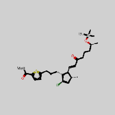 COC(=O)c1ccc(CCC[C@@H]2[C@@H](/C=C/C(=O)CCC[C@H](C)O[Si](C)(C)C(C)(C)C)[C@H](C)C[C@H]2Cl)s1